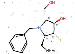 CC(=O)NC[C@@H]1[C@@H](F)[C@H](O)[C@@H](CO)N1Cc1ccccc1